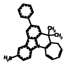 Bc1ccc2c(c1)c1cc(-c3ccccc3)cc3c1n2C1=C(CC=CC=C1)C3(C)C